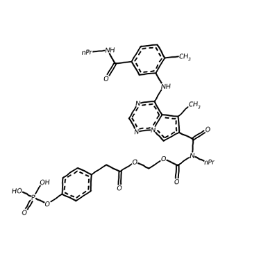 CCCNC(=O)c1ccc(C)c(Nc2ncnn3cc(C(=O)N(CCC)C(=O)OCOC(=O)Cc4ccc(OP(=O)(O)O)cc4)c(C)c23)c1